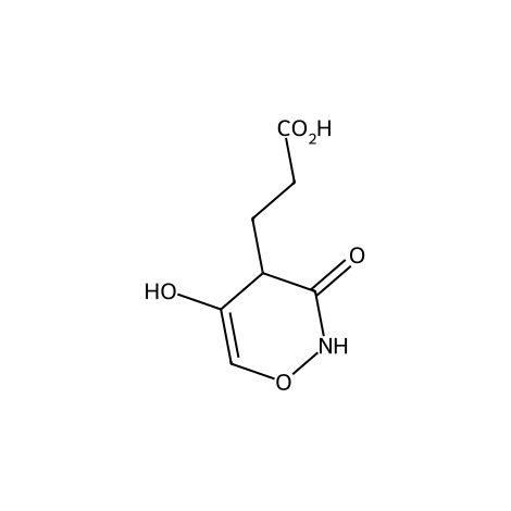 O=C(O)CCC1C(=O)NOC=C1O